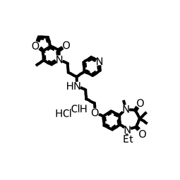 CCN1C(=O)C(C)(C)C(=O)N(C)c2cc(OCCCNC(CCn3cc(C)c4occc4c3=O)c3ccncc3)ccc21.Cl.Cl